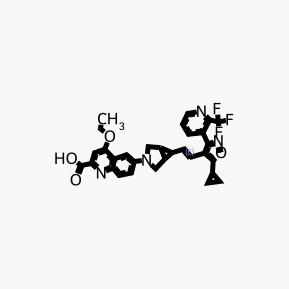 CCOc1cc(C(=O)O)nc2ccc(N3CC4C(/C=C/c5c(-c6cccnc6C(F)(F)F)noc5C5CC5)C4C3)cc12